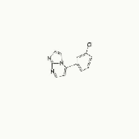 Clc1cccc(-c2ccnc3nccn23)c1